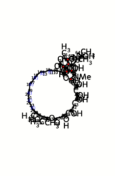 CNCC(=O)N[C@@H]1[C@H](O)[C@@H](O[C@H]2/C=C/C=C/C=C/C=C/C=C/C=C/C=C/[C@H](C)[C@@H](O)[C@@H](C)[C@H](C)OC(=O)C[C@H](O)C[C@H](O)CC[C@@H](O)[C@H](O)C[C@H](O)C[C@]3(O)C[C@H](O)[C@@H](C(=O)N4CCN(CC(C)(C)O)CC4)[C@H](C2)O3)O[C@@H](C)[C@H]1O